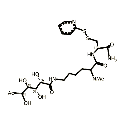 CNC(CCCCNC(=O)[C@@H](O)[C@H](O)[C@H](O)[C@@H](O)C(C)=O)C(=O)N[C@@H](CSSc1ccccn1)C(N)=O